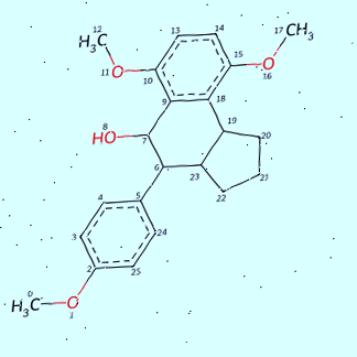 COc1ccc(C2C(O)c3c(OC)ccc(OC)c3C3CCCC32)cc1